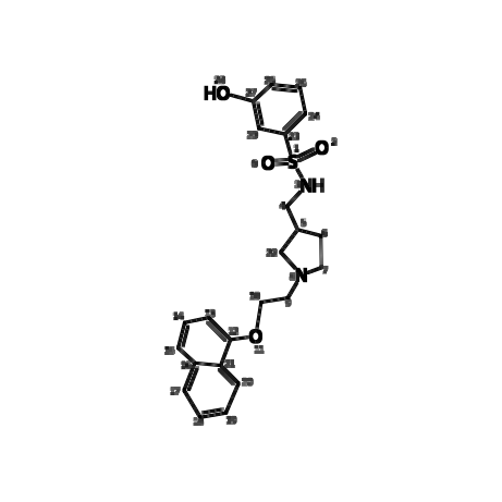 O=S(=O)(NCC1CCN(CCOc2cccc3ccccc23)C1)c1cccc(O)c1